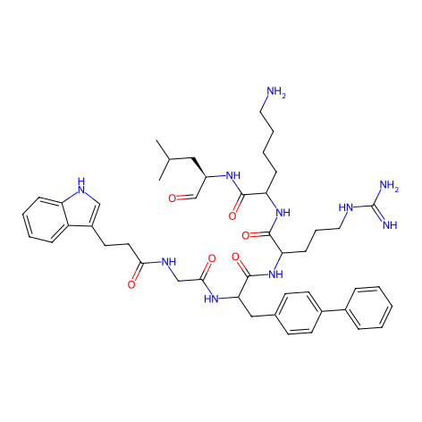 CC(C)C[C@H](C=O)NC(=O)C(CCCCN)NC(=O)C(CCCNC(=N)N)NC(=O)C(Cc1ccc(-c2ccccc2)cc1)NC(=O)CNC(=O)CCc1c[nH]c2ccccc12